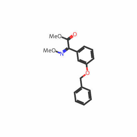 CON=C(C(=O)OC)c1cccc(OCc2ccccc2)c1